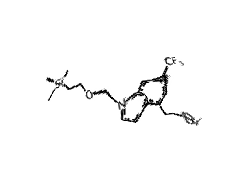 C[Si](C)(C)CCOCn1ccc2c(CBr)cc(C(F)(F)F)cc21